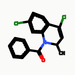 N#CC1C=C(Cl)c2ccc(Cl)cc2N1C(=O)c1ccccc1